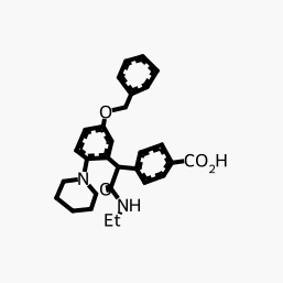 CCNC(=O)C(c1ccc(C(=O)O)cc1)c1cc(OCc2ccccc2)ccc1N1CCCCC1